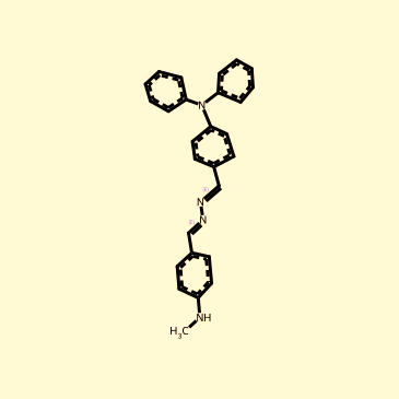 CNc1ccc(/C=N/N=C/c2ccc(N(c3ccccc3)c3ccccc3)cc2)cc1